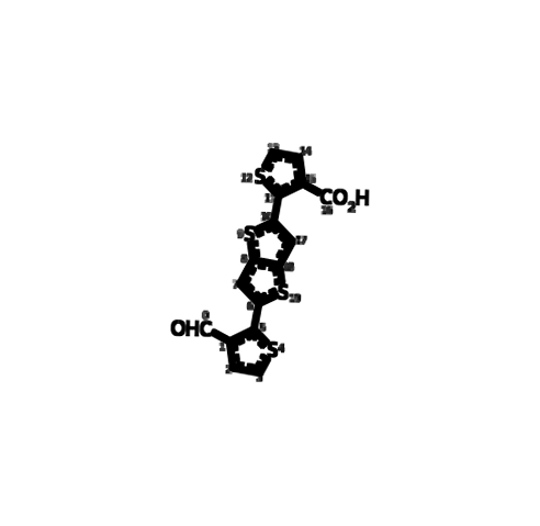 O=Cc1ccsc1-c1cc2sc(-c3sccc3C(=O)O)cc2s1